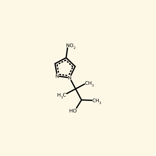 CC(O)C(C)(C)n1cc([N+](=O)[O-])cn1